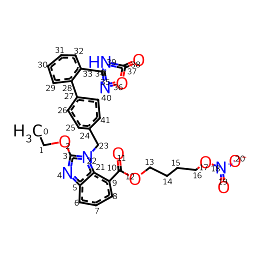 CCOc1nc2cccc(C(=O)OCCCCO[N+](=O)[O-])c2n1Cc1ccc(-c2ccccc2-c2noc(=O)[nH]2)cc1